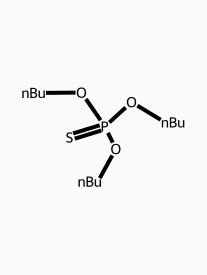 CCCCOP(=S)(OCCCC)OCCCC